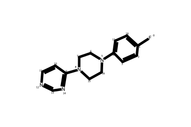 Fc1ccc(N2CCN(c3ccncn3)CC2)cc1